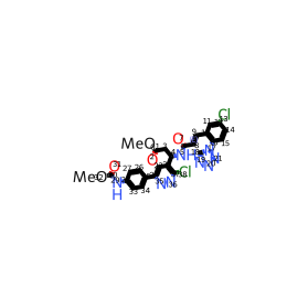 COC(=O)CC(NC(=O)/C=C/c1cc(Cl)ccc1-n1cnnn1)c1cc(-c2ccc(NC(=O)OC)cc2)nnc1Cl